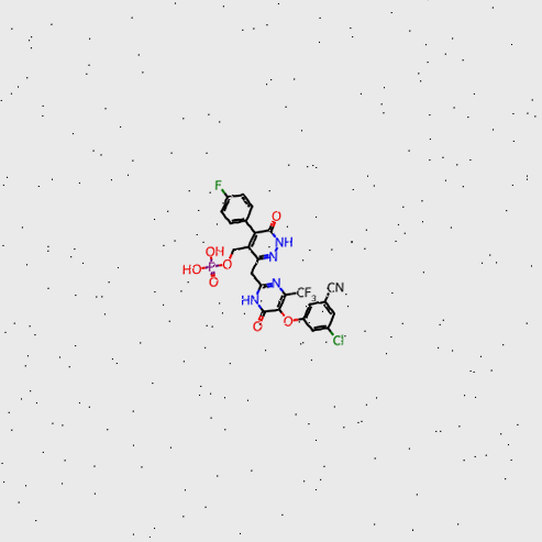 N#Cc1cc(Cl)cc(Oc2c(C(F)(F)F)nc(Cc3n[nH]c(=O)c(-c4ccc(F)cc4)c3COP(=O)(O)O)[nH]c2=O)c1